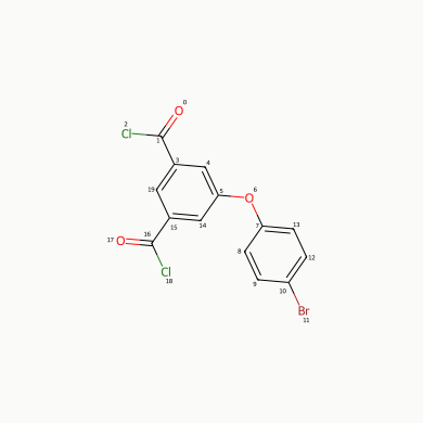 O=C(Cl)c1cc(Oc2ccc(Br)cc2)cc(C(=O)Cl)c1